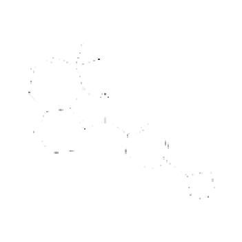 C1=NCC2NCCc3c2c(nn3-c2ccc(C3CCC3)cc2)C12CC2